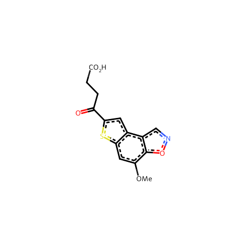 COc1cc2sc(C(=O)CCC(=O)O)cc2c2cnoc12